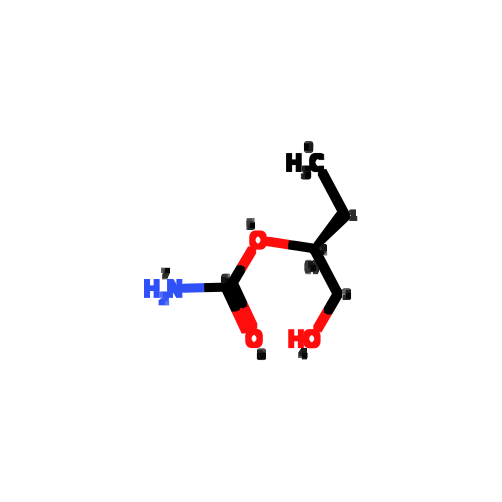 CC[C@@H](CO)OC(N)=O